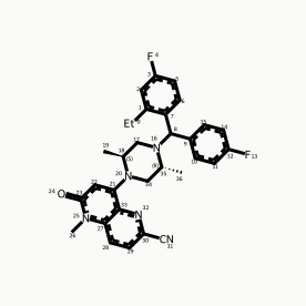 CCc1cc(F)ccc1C(c1ccc(F)cc1)N1C[C@H](C)N(c2cc(=O)n(C)c3ccc(C#N)nc23)C[C@H]1C